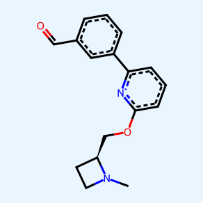 CN1CC[C@H]1COc1cccc(-c2cccc(C=O)c2)n1